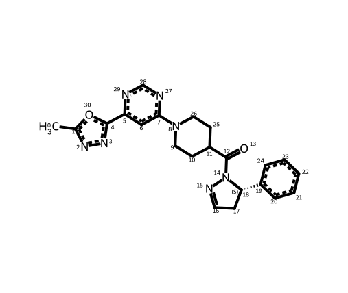 Cc1nnc(-c2cc(N3CCC(C(=O)N4N=CC[C@H]4c4ccccc4)CC3)ncn2)o1